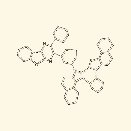 c1ccc(-c2nc3c(nc2-c2cccc(-n4c5ccc6ccccc6c5c5c6ccccc6c6c7ccc8ccccc8c7sc6c54)c2)oc2ccccc23)cc1